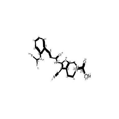 N#Cc1c(NC(=O)C=Cc2ccccc2OC(F)F)sc2c1CCN(C(=O)O)C2